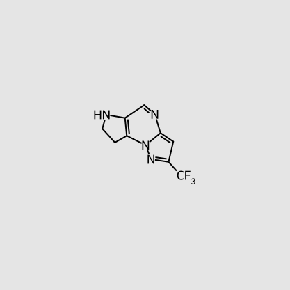 FC(F)(F)c1cc2ncc3c(n2n1)CCN3